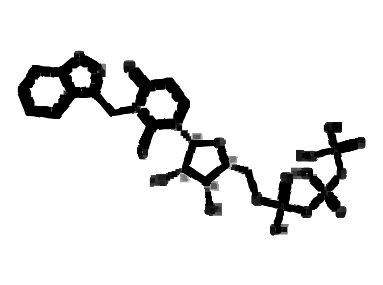 O=c1ccn([C@@H]2O[C@H](COP(=O)(O)OP(=O)(O)OP(=O)(O)O)[C@H](O)[C@@H]2O)c(=O)n1Cc1noc2ccccc12